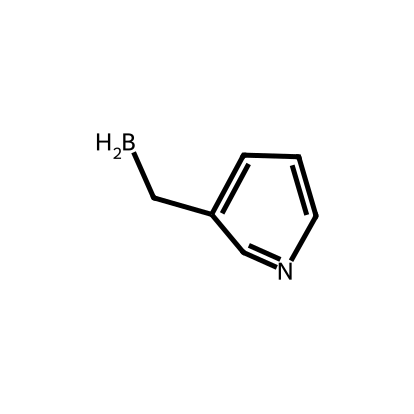 BCc1cccnc1